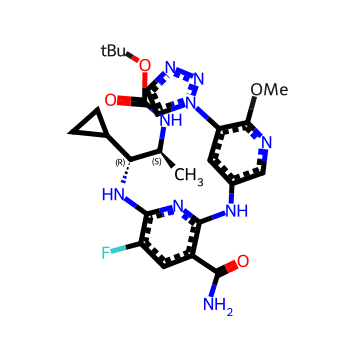 COc1ncc(Nc2nc(N[C@H](C3CC3)[C@H](C)NC(=O)OC(C)(C)C)c(F)cc2C(N)=O)cc1-n1ccnn1